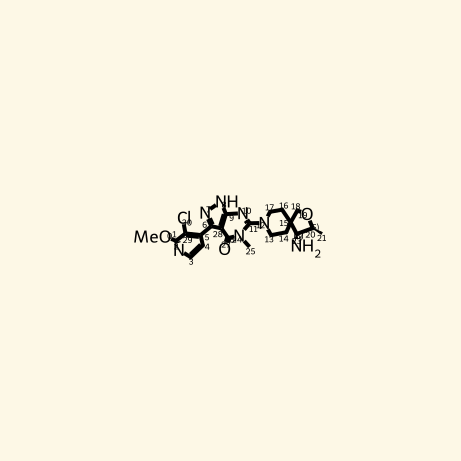 COc1nccc(-c2n[nH]c3nc(N4CCC5(CC4)CO[C@@H](C)[C@H]5N)n(C)c(=O)c23)c1Cl